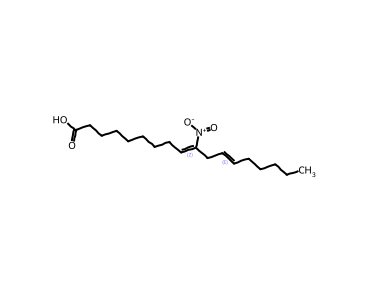 CCCCC/C=C/C/C(=C/CCCCCCCC(=O)O)[N+](=O)[O-]